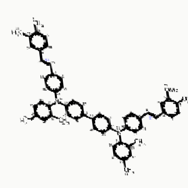 COc1ccc(/C=C/c2ccc(N(c3ccc(-c4ccc(N(c5ccc(/C=C/c6ccc(C)c(C)c6)cc5)c5ccc(C)cc5C)cc4)cc3)c3ccc(C)cc3C)cc2)cc1OC